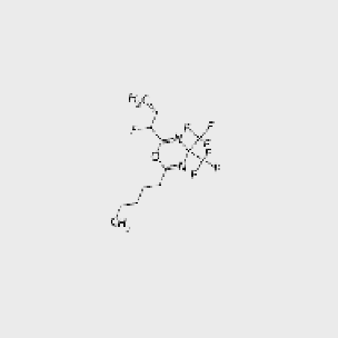 C=CC(F)C1=NC(C(F)(F)F)(C(F)(F)F)N=C(CCCCC)O1